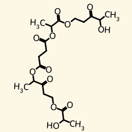 CC(O)C(=O)CCOC(=O)C(C)OC(=O)CCC(=O)OC(C)C(=O)CCOC(=O)C(C)O